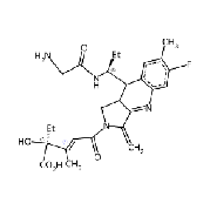 C=C1C2=Nc3cc(F)c(C)cc3C([C@H](CC)NC(=O)CN)C2CN1C(=O)/C=C(\C)[C@@](O)(CC)C(=O)O